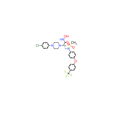 CS(=O)(=O)N(C[C@@H](C(=O)NO)N1CCN(c2ccc(Cl)cc2)CC1)c1ccc(Oc2ccc(C(F)(F)F)cc2)cc1